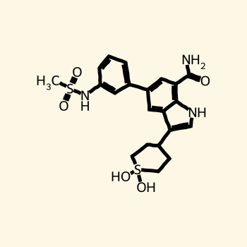 CS(=O)(=O)Nc1cccc(-c2cc(C(N)=O)c3[nH]cc(C4CCS(O)(O)CC4)c3c2)c1